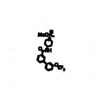 COP(C)(=O)N1CCC(NC(=O)c2cccc(-c3cccc(OC(F)(F)F)c3)c2)CC1